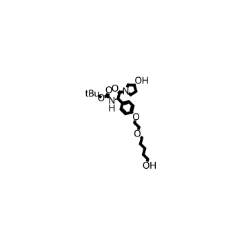 CC(C)(C)OC(=O)N[C@H](C(=O)N1CC[C@H](O)C1)c1ccc(OCCOCCCCCO)cc1